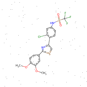 COc1ccc(-c2nc(-c3ccc(NS(=O)(=O)C(F)(F)F)cc3Cl)cs2)cc1OC